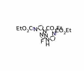 CCOC(=O)/C=N/c1cccc(Nc2nc(N(CC(=O)OCC)c3cccc(/N=C/C(=O)OCC)c3)ncc2F)c1